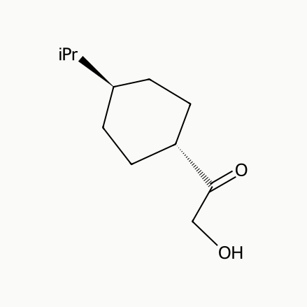 CC(C)[C@H]1CC[C@H](C(=O)CO)CC1